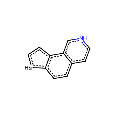 c1cc2ccc3[siH]ccc3c2c[nH]1